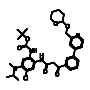 CC(C)N(C)c1cc(NC(=O)OC(C)(C)C)c(NC(=O)CC(=O)c2cccc(-c3ccnc(COC4CCCCO4)c3)c2)cc1Cl